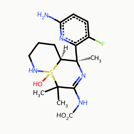 CC1(C)C(NC(=O)O)=N[C@](C)(c2nc(N)ccc2F)[C@@H]2CCCNS21O